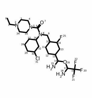 CCN1CCN(C(=O)N(CC2CCC(C(N)OC(N)C(F)(F)F)CC2F)C2CCCC(Cl)C2)CC1